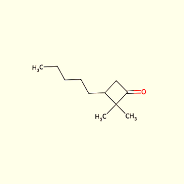 CCCCCC1CC(=O)C1(C)C